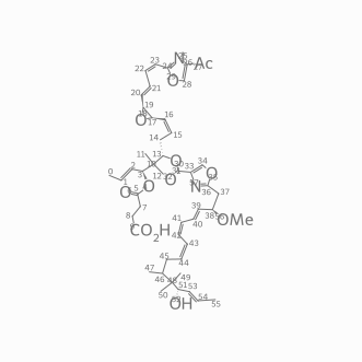 C/C=C/[C@H](OC(=O)CCC(=O)O)C(C)(C)[C@H](C/C=C\[C@H]1O[C@H]1/C=C/C=C\c1nc(C(C)=O)co1)OC(=O)c1coc(C[C@H](/C=C/C=C\C=C/CC(C)C(C)(C)[C@@H](O)/C=C/C)OC)n1